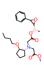 CCCCO[C@@H]1CCC[C@H]1N(CC(=O)OC)CC(=O)OB(C)C1OC1c1ccccc1